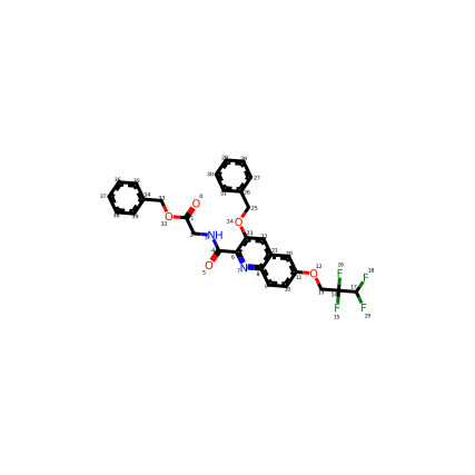 O=C(CNC(=O)c1nc2ccc(OCC(F)(F)C(F)F)cc2cc1OCc1ccccc1)OCc1ccccc1